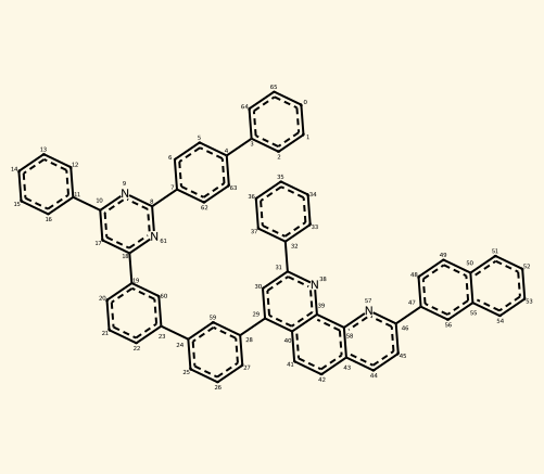 c1ccc(-c2ccc(-c3nc(-c4ccccc4)cc(-c4cccc(-c5cccc(-c6cc(-c7ccccc7)nc7c6ccc6ccc(-c8ccc9ccccc9c8)nc67)c5)c4)n3)cc2)cc1